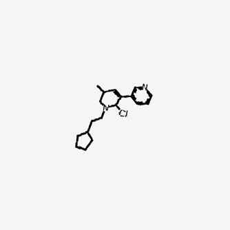 CC1C=C(c2cccnc2)C(Cl)N(CCC2CCCC2)C1